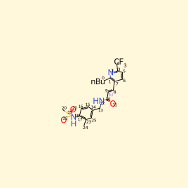 CCCCc1nc(C(F)(F)F)ccc1/C=C/C(=O)NCc1ccc(NS(C)(=O)=O)c(C)c1